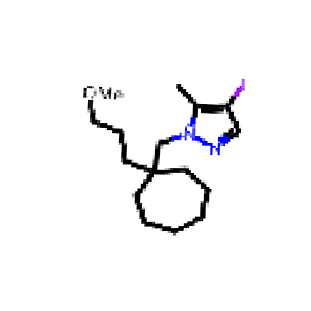 COCCCC1(Cn2ncc(I)c2C)CCCCCC1